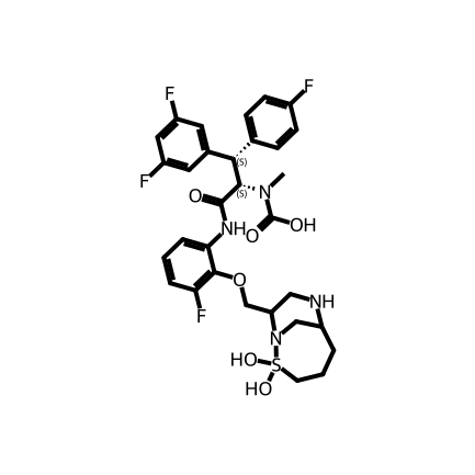 CN(C(=O)O)[C@H](C(=O)Nc1cccc(F)c1OCC1CNC2CCCS(O)(O)N1C2)[C@@H](c1ccc(F)cc1)c1cc(F)cc(F)c1